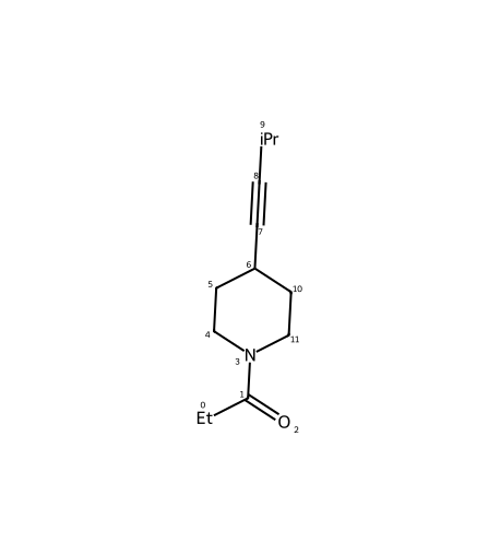 CCC(=O)N1CCC(C#CC(C)C)CC1